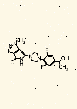 CC(O)c1cc(F)c(N2CCN(c3cc4c(nnn4C)c(=O)[nH]3)CC2)c(F)c1